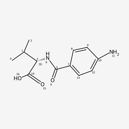 CC(C)[C@H](NC(=O)c1ccc(N)cc1)C(=O)O